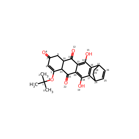 CC(C)(C)OC1=CC(=O)CC2C(=O)c3c(O)c4c(c(O)c3C(=O)C12)C1C=CC4CC1